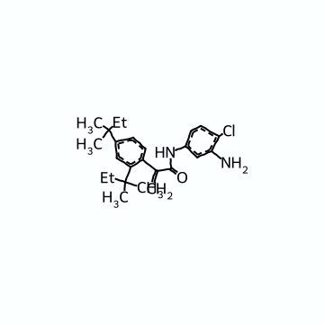 C=C(C(=O)Nc1ccc(Cl)c(N)c1)c1ccc(C(C)(C)CC)cc1C(C)(C)CC